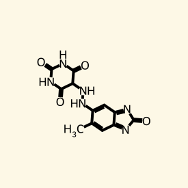 Cc1cc2c(cc1NNC1C(=O)NC(=O)NC1=O)=NC(=O)N=2